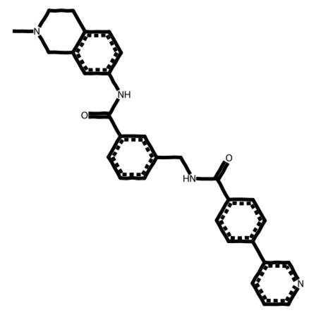 CN1CCc2ccc(NC(=O)c3cccc(CNC(=O)c4ccc(-c5cccnc5)cc4)c3)cc2C1